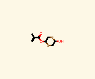 C=C(C)C(=O)OC1CSC(O)CS1